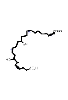 CCCCC/C=C\CCCC/C=C\CCC(O)CC/C=C\CC(O)C/C=C\CCC(=O)O